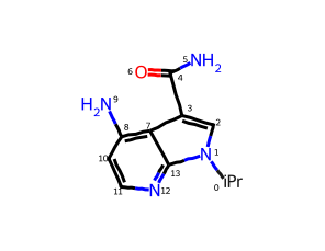 CC(C)n1cc(C(N)=O)c2c(N)ccnc21